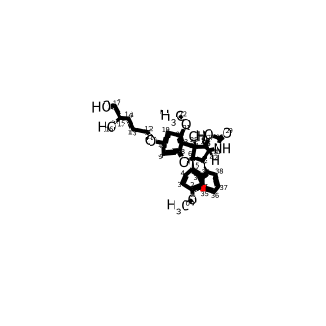 COc1ccc([C@@]23Oc4cc(OCCCC(O)CO)cc(OC)c4[C@]2(C)[C@@H]2OC(=O)N[C@@H]2[C@H]3c2ccccc2)cc1